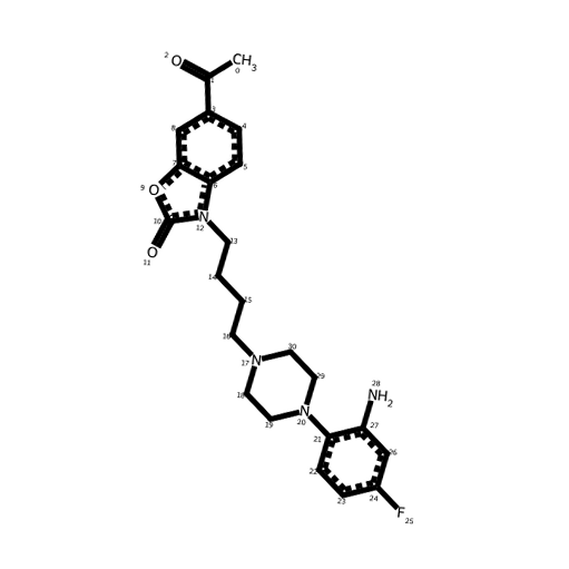 CC(=O)c1ccc2c(c1)oc(=O)n2CCCCN1CCN(c2ccc(F)cc2N)CC1